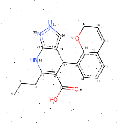 CCCC1=C(C(=O)O)C(c2cccc3c2OCC=C3)c2c[nH]nc2N1